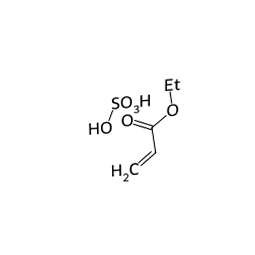 C=CC(=O)OCC.O=S(=O)(O)O